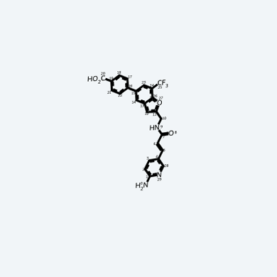 Nc1ccc(C=CC(=O)NCc2cc3cc(-c4ccc(C(=O)O)cc4)cc(C(F)(F)F)c3o2)cn1